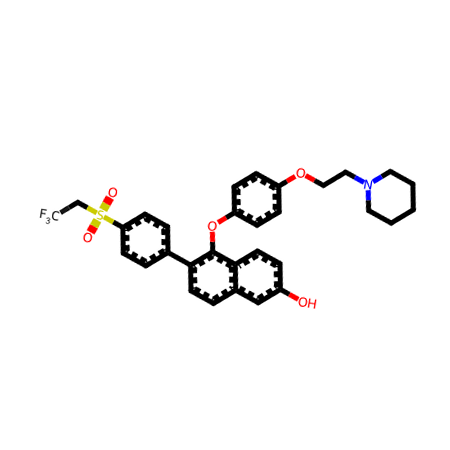 O=S(=O)(CC(F)(F)F)c1ccc(-c2ccc3cc(O)ccc3c2Oc2ccc(OCCN3CCCCC3)cc2)cc1